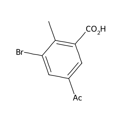 CC(=O)c1cc(Br)c(C)c(C(=O)O)c1